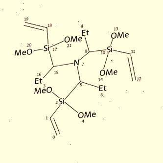 C=C[Si](OC)(OC)C(CC)N(C(CC)[Si](C=C)(OC)OC)C(CC)[Si](C=C)(OC)OC